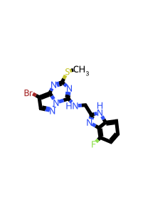 CSc1nc(NCc2nc3c(F)cccc3[nH]2)n2ncc(Br)c2n1